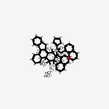 Cl.Cl.[CH2]=[Zr]([CH2]c1cccc2ccccc12)([CH2]c1cccc2ccccc12)([C]1=CC=CC1)[C]1(C)C2=C3Cc4ccccc4C3=C3C=CCCC3C2(C)C(C)(C)C(C)(C)C1(C)C